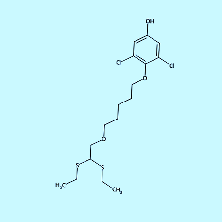 CCSC(COCCCCCOc1c(Cl)cc(O)cc1Cl)SCC